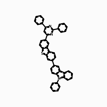 c1ccc(-c2cc(-c3ccc4sc5cc(-c6ccc7c(c6)c6ccccc6n7-c6ccccc6)ccc5c4c3)nc(-c3ccccc3)n2)cc1